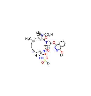 CCOc1nnc(O[C@@H]2C[C@H]3C(=O)N[C@]4(C(=O)NS(=O)(=O)C5CC5)C[C@H]4/C=C\CC[C@H](C)C[C@@H](C)[C@H](N(C(=O)O)C(C)(C)C)C(=O)N3C2)c2ccccc12